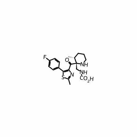 Cc1nc(C(=O)[C@@]2(CNC(=O)O)NCCC[C@H]2C)c(-c2ccc(F)cc2)s1